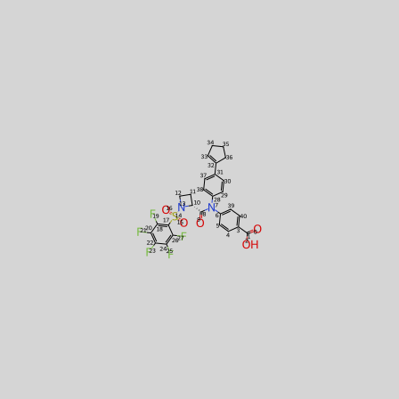 O=C(O)c1ccc(N(C(=O)[C@H]2CCN2S(=O)(=O)c2c(F)c(F)c(F)c(F)c2F)c2ccc(C3=CCCC3)cc2)cc1